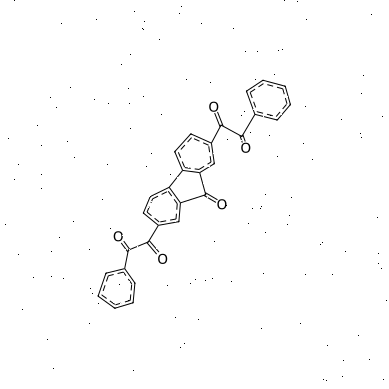 O=C(C(=O)c1ccc2c(c1)C(=O)c1cc(C(=O)C(=O)c3ccccc3)ccc1-2)c1ccccc1